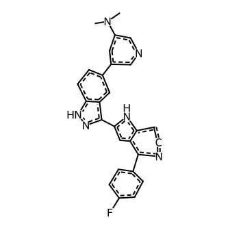 CN(C)c1cncc(-c2ccc3[nH]nc(-c4cc5c(-c6ccc(F)cc6)nccc5[nH]4)c3c2)c1